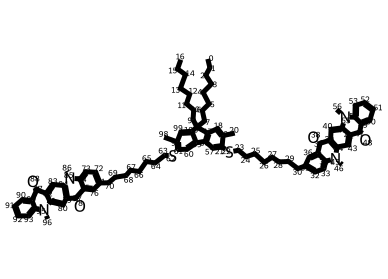 CCCCCCCCC1(CCCCCCCC)c2cc(C)c(SCCCCCCCCc3ccc4c(c3)c(=O)c3cc5c(cc3n4C)c(=O)c3ccccc3n5C)cc2-c2cc(SCCCCCCCCc3ccc4c(c3)c(=O)c3cc5c(cc3n4C)c(=O)c3ccccc3n5C)c(C)cc21